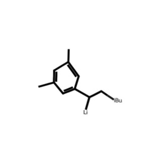 [Li][CH](CC(C)CC)c1cc(C)cc(C)c1